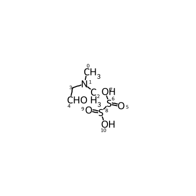 CN(C)CC=O.O=S(O)S(=O)O